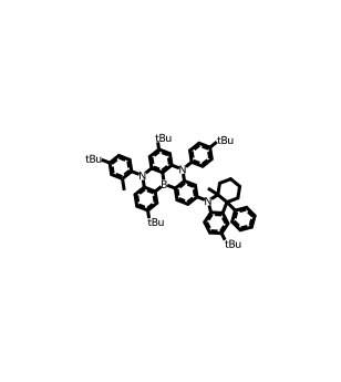 Cc1cc(C(C)(C)C)ccc1N1c2ccc(C(C)(C)C)cc2B2c3ccc(N4c5ccc(C(C)(C)C)cc5C5(c6ccccc6)CCCCC45C)cc3N(c3ccc(C(C)(C)C)cc3)c3cc(C(C)(C)C)cc1c32